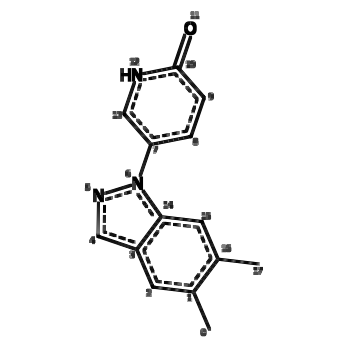 Cc1cc2cnn(-c3ccc(=O)[nH]c3)c2cc1C